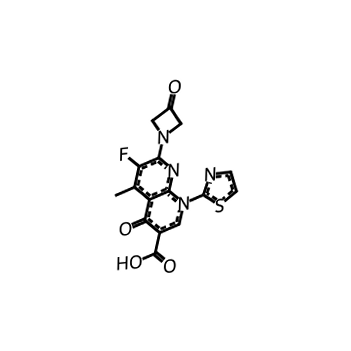 Cc1c(F)c(N2CC(=O)C2)nc2c1c(=O)c(C(=O)O)cn2-c1nccs1